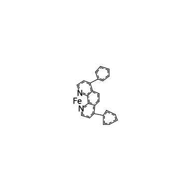 [Fe].c1ccc(-c2ccnc3c2ccc2c(-c4ccccc4)ccnc23)cc1